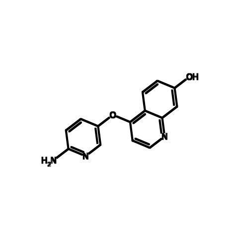 Nc1ccc(Oc2ccnc3cc(O)ccc23)cn1